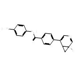 Nc1ccc(NC(=O)c2ccc(C3=CN=C[C@@H]4CC34)cc2)cc1